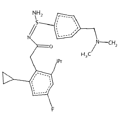 CC(C)c1cc(F)cc(C2CC2)c1CC(=O)/N=S(/N)c1ccc(CN(C)C)cc1